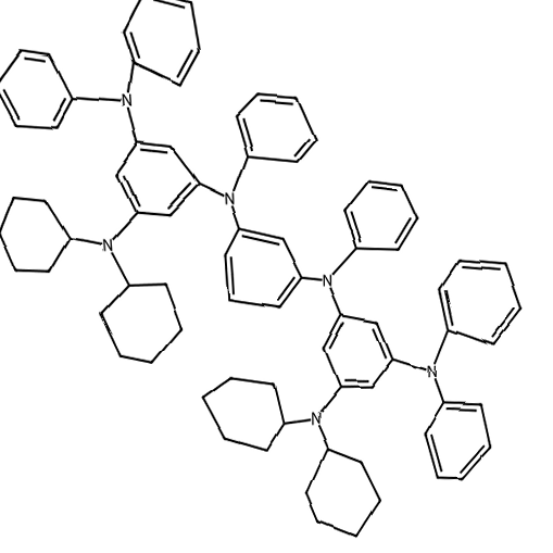 c1ccc(N(c2ccccc2)c2cc(N(c3ccccc3)c3cccc(N(c4ccccc4)c4cc(N(c5ccccc5)c5ccccc5)cc(N(C5CCCCC5)C5CCCCC5)c4)c3)cc(N(C3CCCCC3)C3CCCCC3)c2)cc1